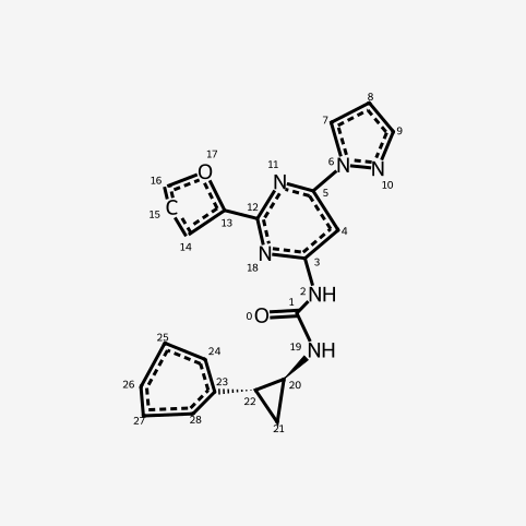 O=C(Nc1cc(-n2cccn2)nc(-c2ccco2)n1)N[C@H]1C[C@@H]1c1ccccc1